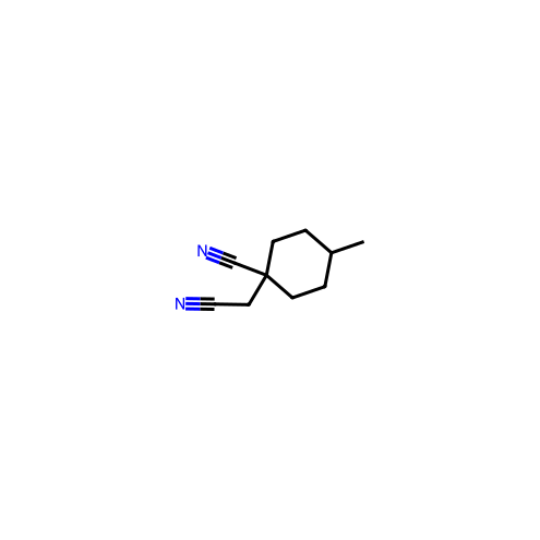 CC1CCC(C#N)(CC#N)CC1